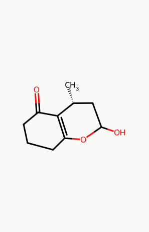 C[C@@H]1CC(O)OC2=C1C(=O)CCC2